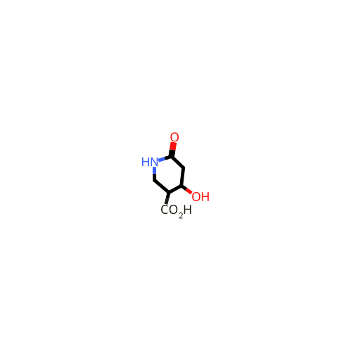 O=C1CC(O)C(C(=O)O)CN1